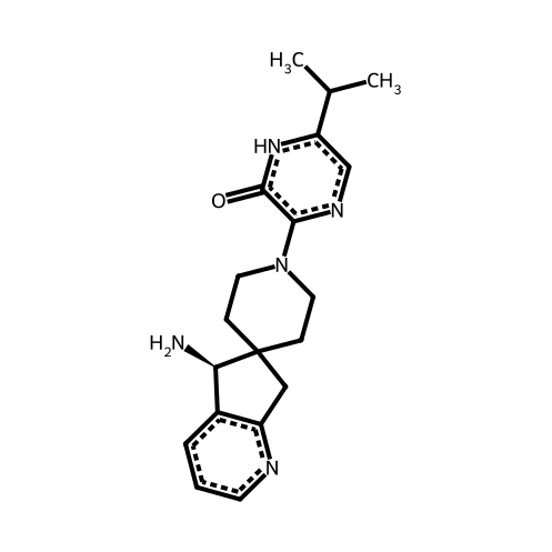 CC(C)c1cnc(N2CCC3(CC2)Cc2ncccc2[C@H]3N)c(=O)[nH]1